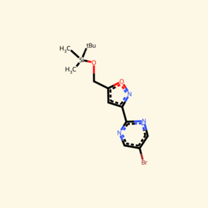 CC(C)(C)[Si](C)(C)OCc1cc(-c2ncc(Br)cn2)no1